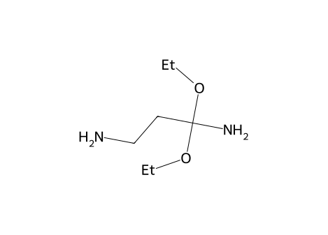 CCOC(N)(CCN)OCC